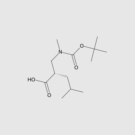 CC(C)C[C@@H](CN(C)C(=O)OC(C)(C)C)C(=O)O